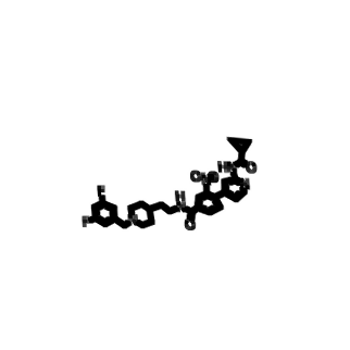 O=C(NCCC1CCN(Cc2cc(F)cc(F)c2)CC1)c1ccc(-c2ccnc(NC(=O)C3CC3)c2)c([N+](=O)[O-])c1